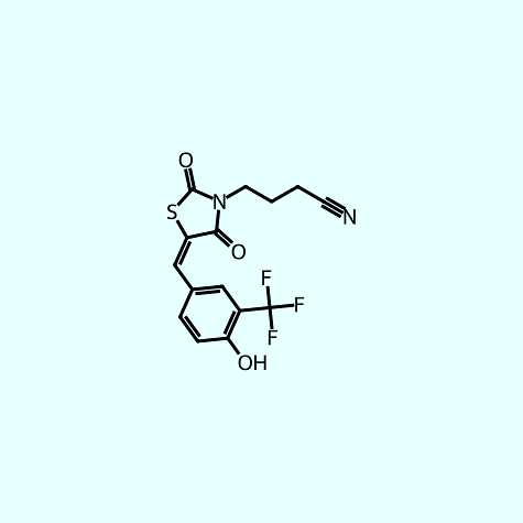 N#CCCCN1C(=O)SC(=Cc2ccc(O)c(C(F)(F)F)c2)C1=O